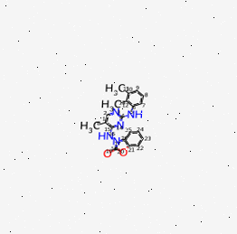 Cc1cnc(Nc2cccc(C)c2C)nc1Nn1c(=O)oc2ccccc21